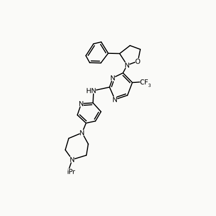 CC(C)N1CCN(c2ccc(Nc3ncc(C(F)(F)F)c(N4OCCC4c4ccccc4)n3)nc2)CC1